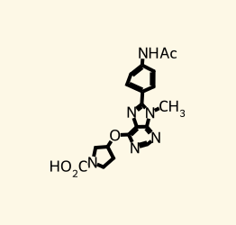 CC(=O)Nc1ccc(-c2nc3c(OC4CCN(C(=O)O)C4)ncnc3n2C)cc1